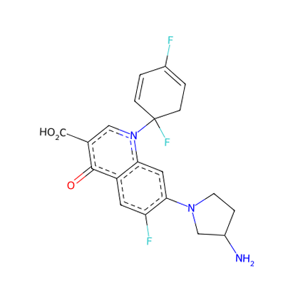 NC1CCN(c2cc3c(cc2F)c(=O)c(C(=O)O)cn3C2(F)C=CC(F)=CC2)C1